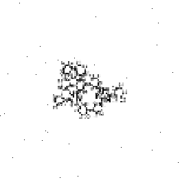 c1ccc(-c2cc(-c3cccc(-c4cccc(-c5nc(-c6ccccc6)nc(-c6ccccc6)n5)c4)c3)nc(-c3cccc4c3-c3ccccc3C4(c3ccccc3)c3ccccc3)n2)cc1